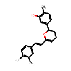 Cc1ccc(/C=C/C2=CCCC(c3ccc(C)c(O)c3)O2)cc1C